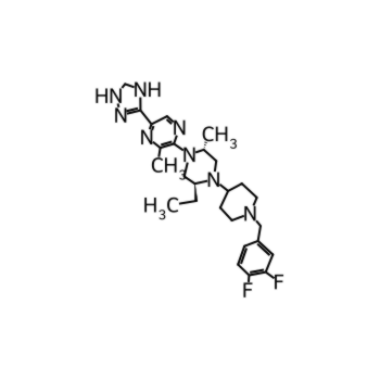 CC[C@H]1CN(c2ncc(C3=NNCN3)nc2C)[C@H](C)CN1C1CCN(Cc2ccc(F)c(F)c2)CC1